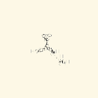 C=C(CCCCCCC(=O)Nc1ccc([C@H]2O[C@@H](CSC3=NC(c4ccccc4)=C(c4ccccc4)C3)C[C@@H](c3ccc(CO)cc3)O2)cc1)NO